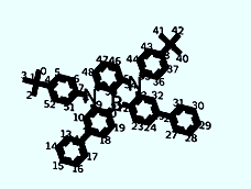 CC(C)(C)c1ccc(N2c3cc(-c4ccccc4)ccc3B3c4ccc(-c5ccccc5)cc4N(c4ccc(C(C)(C)C)cc4)c4cccc2c43)cc1